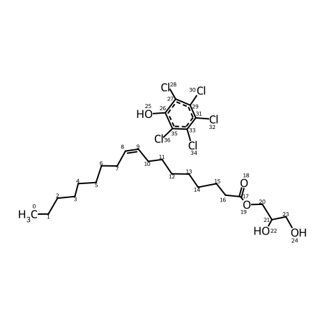 CCCCCCCC/C=C\CCCCCCCC(=O)OCC(O)CO.Oc1c(Cl)c(Cl)c(Cl)c(Cl)c1Cl